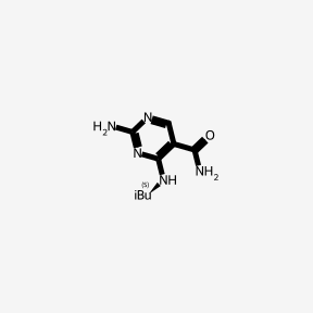 CC[C@H](C)Nc1nc(N)ncc1C(N)=O